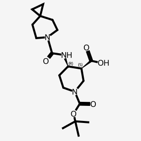 CC(C)(C)OC(=O)N1CC[C@@H](NC(=O)N2CCC3(CC2)CC3)[C@@H](C(=O)O)C1